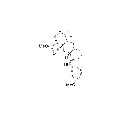 COC(=O)C1=COC(C)[C@H]2CN3CCc4c([nH]c5cc(OC)ccc45)[C@@H]3C[C@H]12